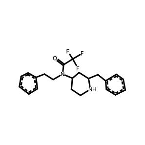 O=C(N(CCc1ccccc1)C1CCNC(Cc2ccccc2)C1)C(F)(F)F